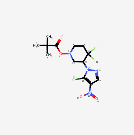 CC(C)(C)C(=O)ON1CCC(F)(F)C(n2ncc([N+](=O)[O-])c2Cl)C1